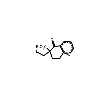 CCOC(=O)C1(CI)CCc2ncccc2C1=O